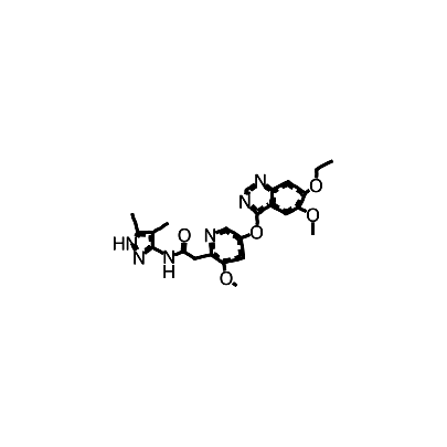 CCOc1cc2ncnc(Oc3cnc(CC(=O)Nc4n[nH]c(C)c4C)c(OC)c3)c2cc1OC